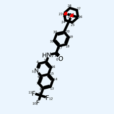 O=C(Nc1cnc2cc(C(F)(F)F)ccc2c1)c1ccc(N2CC3CCC(CC3)C2)cc1